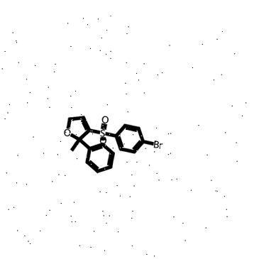 CC1(c2ccccc2)OCC=C1S(=O)(=O)c1ccc(Br)cc1